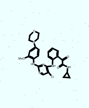 COc1cc(N2CCOCC2)ccc1Nc1ncc(Cl)c(Nc2ccccc2C(=O)C(=O)NC2CC2)n1